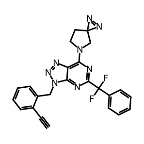 C#Cc1ccccc1Cn1nnc2c(N3CCC4(C3)N=N4)nc(C(F)(F)c3ccccc3)nc21